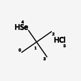 CC(C)(C)[SeH].Cl